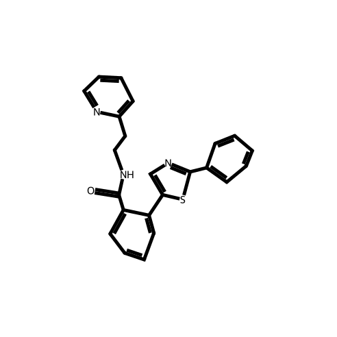 O=C(NCCc1ccccn1)c1ccccc1-c1cnc(-c2ccccc2)s1